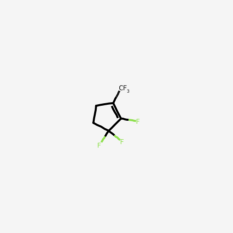 FC1=C(C(F)(F)F)CCC1(F)F